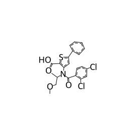 COCC(C)N(C(=O)c1ccc(Cl)cc1Cl)c1cc(-c2ccccc2)sc1C(=O)O